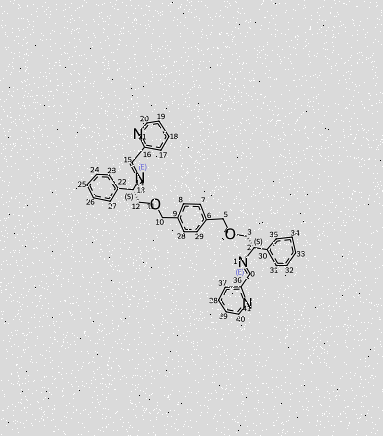 C(=N\[C@H](COCc1ccc(COC[C@@H](/N=C/c2ccccn2)c2ccccc2)cc1)c1ccccc1)/c1ccccn1